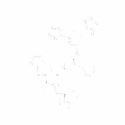 O=C(NCC(C(=O)Nc1cc(-c2nnn[nH]2)cc(-c2nnn[nH]2)c1)c1ccccc1)c1cc2cc[nH]c2cc1C(=O)NCC12CC3CC(CC(C3)C1)C2